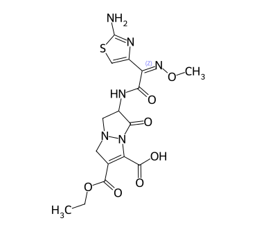 CCOC(=O)C1=C(C(=O)O)N2C(=O)C(NC(=O)/C(=N\OC)c3csc(N)n3)CN2C1